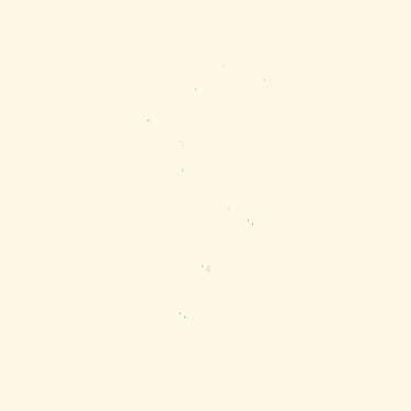 CNC(=O)Nc1ccc(C(=O)c2ccccc2)cc1N